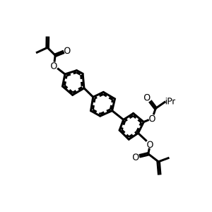 C=C(C)C(=O)Oc1ccc(-c2ccc(-c3ccc(OC(=O)C(=C)C)c(OC(=O)C(C)C)c3)cc2)cc1